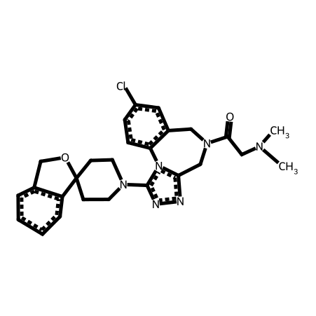 CN(C)CC(=O)N1Cc2cc(Cl)ccc2-n2c(nnc2N2CCC3(CC2)OCc2ccccc23)C1